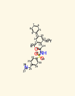 CC(C)c1cc(-c2ccccc2)cc(C(C)C)c1CC(=O)NS(=O)(=O)c1ccc(CN(C)C)cc1